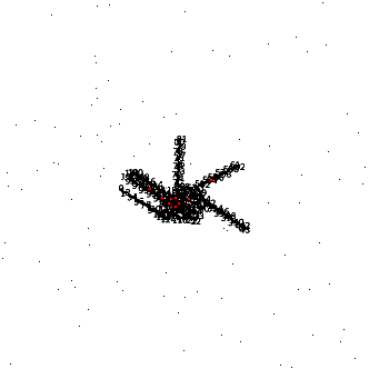 CCCCCCCCCCCCc1ccc(-c2ccc3c4ccccc4c4c(-c5ccc(CCCCCCCCCCCC)cc5)c(-c5ccc(CCCCCCCCCCCC)cc5)c(-c5ccc(CCCCCCCCCCCC)cc5)c(-c5ccc(CCCCCCCCCCCC)cc5)c4c3c2-c2ccc(CCCCCCCCCCCC)cc2)cc1